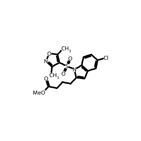 COC(=O)CCCc1cc2cc(Cl)ccc2n1S(=O)(=O)c1c(C)noc1C